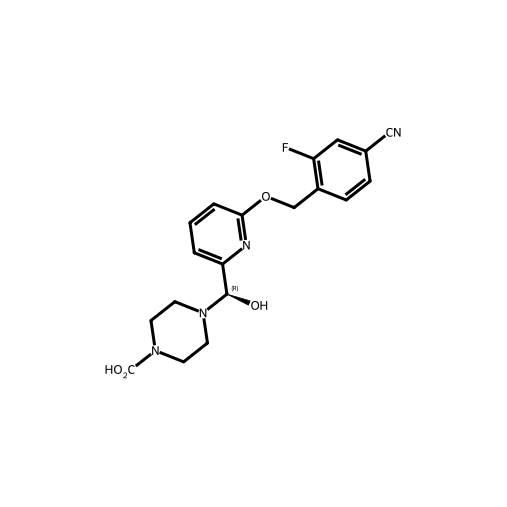 N#Cc1ccc(COc2cccc([C@@H](O)N3CCN(C(=O)O)CC3)n2)c(F)c1